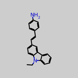 CCn1c2ccccc2c2cc(C=Cc3ccc(N)cc3)ccc21